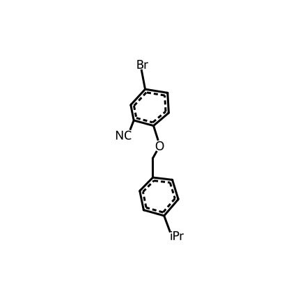 CC(C)c1ccc(COc2ccc(Br)cc2C#N)cc1